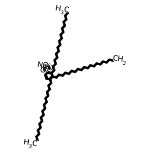 CCCCCCCCCCCCCCCCCCCCc1ccc(S(=O)(=O)[O-])c(CCCCCCCCCCCCCCCCCCCC)c1CCCCCCCCCCCCCCCCCCCC.[Na+]